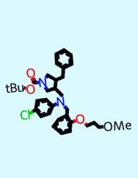 COCCCOc1ccccc1CN(CC1CN(C(=O)OC(C)(C)C)CC1Cc1ccccc1)c1ccc(Cl)cc1